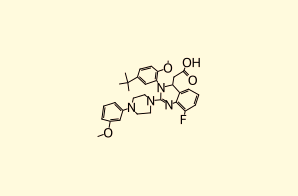 COc1cccc(N2CCN(C3=Nc4c(F)cccc4C(CC(=O)O)N3c3cc(C(C)(C)C)ccc3OC)CC2)c1